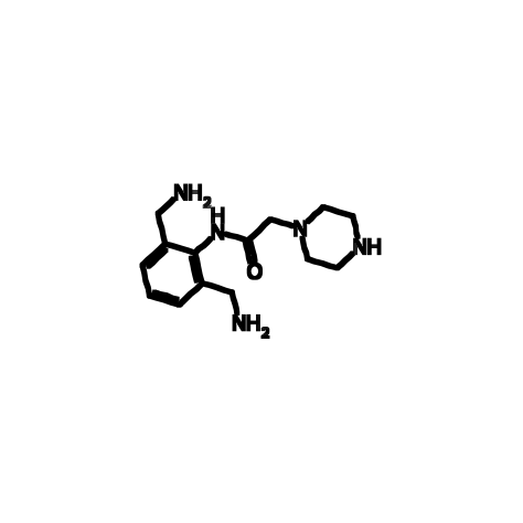 NCc1cccc(CN)c1NC(=O)CN1CCNCC1